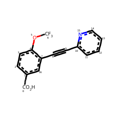 O=C(O)c1ccc(OC(F)(F)F)c(C#Cc2ccccn2)c1